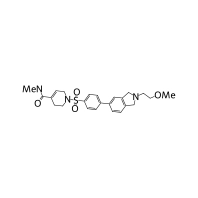 CNC(=O)C1=CCN(S(=O)(=O)c2ccc(-c3ccc4c(c3)CN(CCOC)C4)cc2)CC1